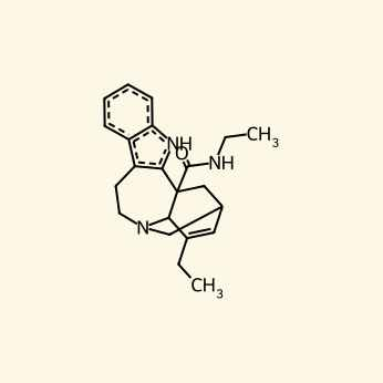 CCNC(=O)C12CC3C=C(CC)C1N(CCc1c2[nH]c2ccccc12)C3